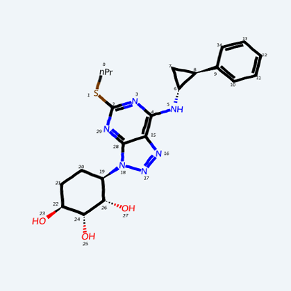 CCCSc1nc(N[C@@H]2C[C@H]2c2ccccc2)c2nnn([C@@H]3CC[C@H](O)[C@@H](O)[C@H]3O)c2n1